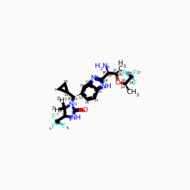 [2H]C1([2H])C(C(F)(F)F)NC(=O)N1[C@@H](c1ccc2[nH]c([C@@H](N)[C@@H](C)O[C@H](C)C(F)(F)F)nc2c1)C1CC1